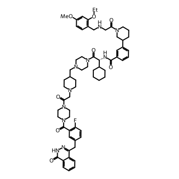 CCOc1cc(OC)ccc1CNCC(=O)N1CCCC(c2cccc(C(=O)N[C@@H](C(=O)N3CCN(CC4CCN(CC(=O)N5CCN(C(=O)c6cc(Cc7n[nH]c(=O)c8ccccc78)ccc6F)CC5)CC4)CC3)C3CCCCC3)c2)C1